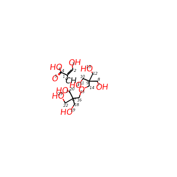 CC(=CO)C(=O)O.OCC(CO)(CO)COCC(CO)(CO)CO